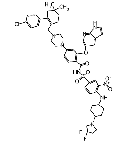 CC1(C)CCC(CN2CCN(c3ccc(C(=O)NS(=O)(=O)c4ccc(NC5CCC(N6CCC(F)(F)C6)CC5)c([N+](=O)[O-])c4)c(Oc4cnc5[nH]ccc5c4)c3)CC2)=C(c2ccc(Cl)cc2)C1